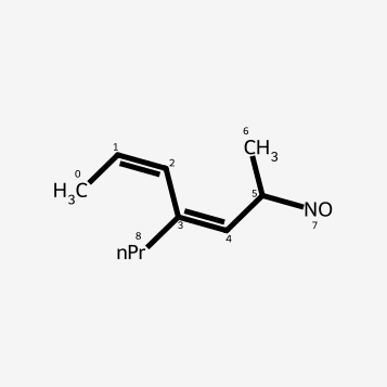 C/C=C\C(=C/C(C)N=O)CCC